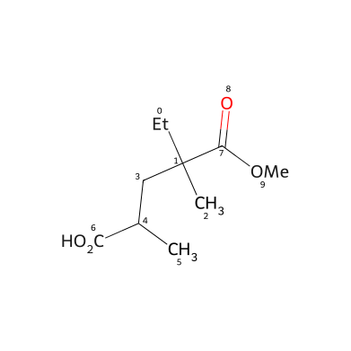 CCC(C)(CC(C)C(=O)O)C(=O)OC